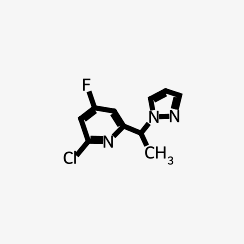 CC(c1cc(F)cc(Cl)n1)n1cccn1